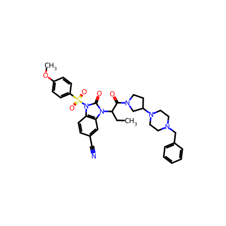 CCC(C(=O)N1CCC(N2CCN(Cc3ccccc3)CC2)C1)n1c(=O)n(S(=O)(=O)c2ccc(OC)cc2)c2ccc(C#N)cc21